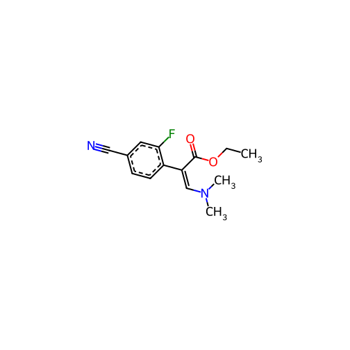 CCOC(=O)C(=CN(C)C)c1ccc(C#N)cc1F